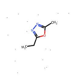 [CH2]c1nnc(CC)o1